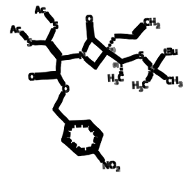 C=CC[C@]1([C@@H](C)S[Si](C)(C)C(C)(C)C)CN(C(C(=O)OCc2ccc([N+](=O)[O-])cc2)=C(SC(C)=O)SC(C)=O)C1=O